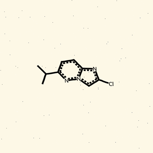 CC(C)c1ccc2nc(Cl)cn2n1